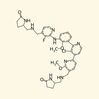 COc1nc(-c2ccnc(-c3cccc(Nc4nccc(CNCC5CCC(=O)N5)c4F)c3OC)c2Cl)ccc1CNCC1CCC(=O)N1